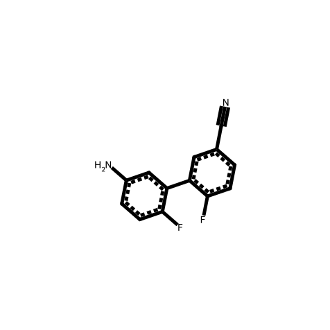 N#Cc1ccc(F)c(-c2cc(N)ccc2F)c1